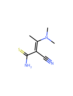 CC(=C(C#N)C(N)=S)N(C)C